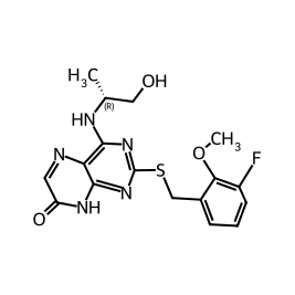 COc1c(F)cccc1CSc1nc(N[C@H](C)CO)c2ncc(=O)[nH]c2n1